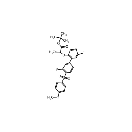 COc1ccc(S(=O)(=O)c2ccc(-c3cc(F)ccc3O[C@@H](C)C(=O)OC(C)(C)C)cc2F)cc1